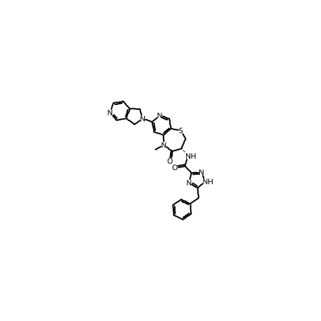 CN1C(=O)[C@@H](NC(=O)c2n[nH]c(Cc3ccccc3)n2)CSc2cnc(N3Cc4ccncc4C3)cc21